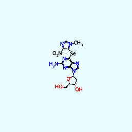 Cn1cnc([N+](=O)[O-])c1[Se]c1nc(N)nc2c1ncn2[C@H]1C[C@H](O)[C@@H](CO)O1